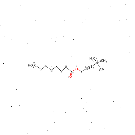 CC(C)(C#N)C#CCOC(=O)CCCCCCC(=O)O